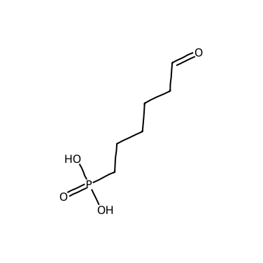 O=CCCCCCP(=O)(O)O